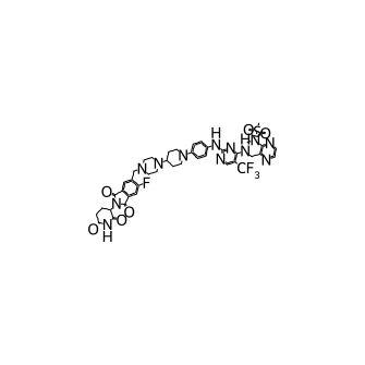 CN(c1nccnc1CNc1nc(Nc2ccc(N3CCC(N4CCN(Cc5cc6c(cc5F)C(=O)N(C5CCC(=O)NC5=O)C6=O)CC4)CC3)cc2)ncc1C(F)(F)F)S(C)(=O)=O